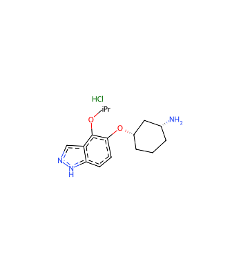 CC(C)Oc1c(O[C@H]2CCC[C@@H](N)C2)ccc2[nH]ncc12.Cl